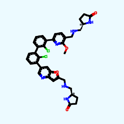 COc1nc(-c2cccc(-c3cccc(-c4cnc5cc(CNC[C@H]6CCC(=O)N6)oc5c4)c3Cl)c2Cl)ccc1CNC[C@@H]1CCC(=O)N1